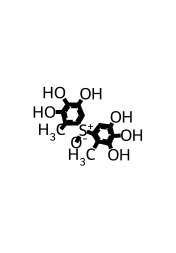 Cc1c([S+]([O-])c2cc(O)c(O)c(O)c2C)cc(O)c(O)c1O